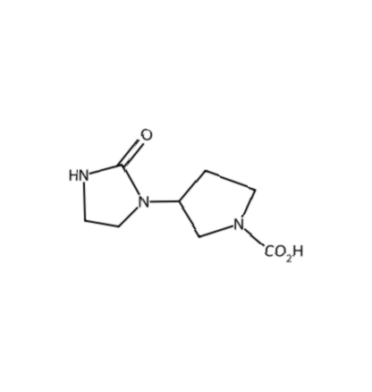 O=C(O)N1CCC(N2CCNC2=O)C1